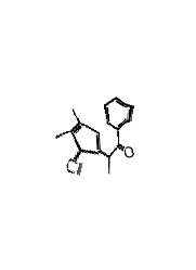 CC1=C(C)C(Cl)C(C(C)C(=O)c2ccccc2)=C1